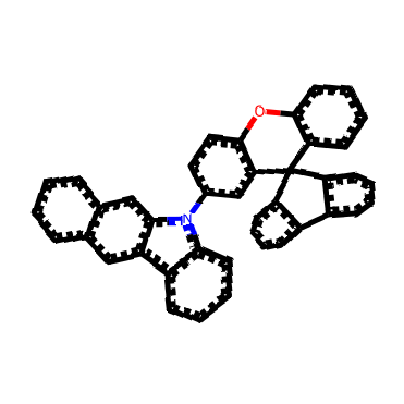 c1ccc2c(c1)Oc1ccc(-n3c4ccccc4c4cc5ccccc5cc43)cc1C21c2ccccc2-c2ccccc21